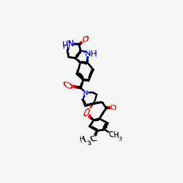 Cc1cc2c(cc1C)C(=O)CC1(CCN(C(=O)c3ccc4[nH]c5c(c4c3)CCNC5=O)CC1)O2